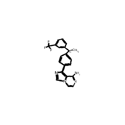 C[C@@H](c1ccc(-c2ncn3ccnc(N)c23)cc1)c1cccc(C(F)(F)F)c1